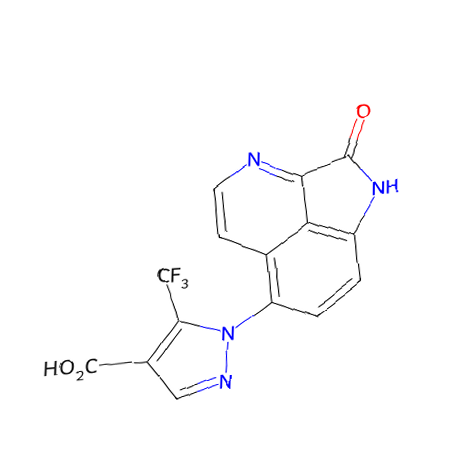 O=C(O)c1cnn(-c2ccc3c4c(nccc24)C(=O)N3)c1C(F)(F)F